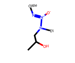 CCN(CC(C)O)/[N+]([O-])=N/OC